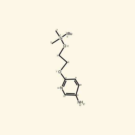 CC(C)(C)[Si](C)(C)OCCOc1ccc(N)cn1